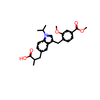 COC(=O)c1ccc(Cc2cn(C(C)C)c3ccc(CC(C)C(=O)O)cc23)c(OC)c1